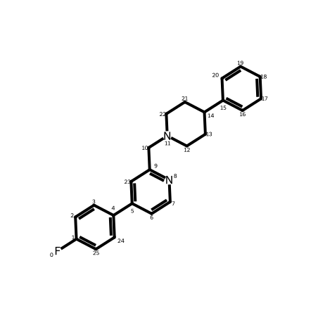 Fc1ccc(-c2ccnc(CN3CCC(c4ccccc4)CC3)c2)cc1